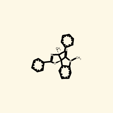 CN1C(=O)[C@]2(OC(c3ccccc3)=N[C@@]2(C)Cc2ccccc2)c2ccccc21